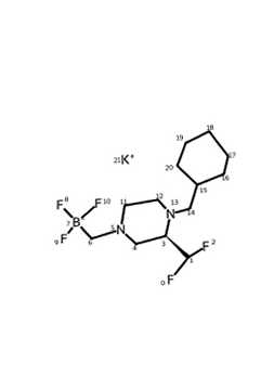 FC(F)[C@H]1CN(C[B-](F)(F)F)CCN1CC1CCCCC1.[K+]